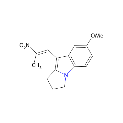 COc1ccc2c(c1)c(C=C(C)[N+](=O)[O-])c1n2CCC1